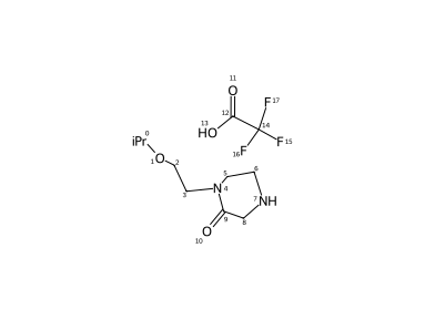 CC(C)OCCN1CCNCC1=O.O=C(O)C(F)(F)F